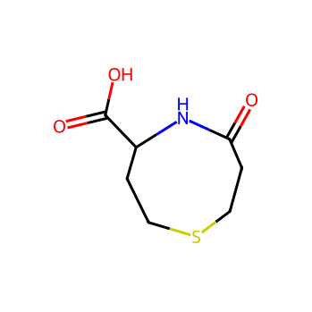 O=C1CCSCCC(C(=O)O)N1